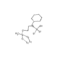 CCO[Si](C)(OCC)OCCN(C1CCCCC1)[Si](CC)(CC)CC